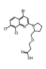 O=C(O)CCOCC1CCCN1c1cc(Br)c2ccc(Cl)c(Cl)c2n1